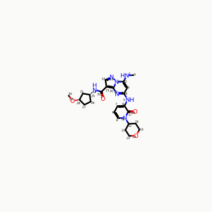 CNc1cc(Nc2cccn(C3CCOCC3)c2=O)nc2c(C(=O)N[C@@H]3CC[C@@H](OC)C3)cnn12